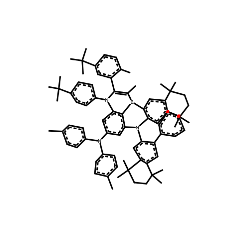 CC1=C(c2cc(C(C)(C)C)ccc2C)N(c2ccc(C(C)(C)C)cc2)c2cc(N(c3ccc(C)cc3)c3ccc(C)cc3)cc3c2B1c1cc2c(cc1N3c1cc3c(cc1-c1ccccc1)C(C)(C)CCC3(C)C)C(C)(C)CCC2(C)C